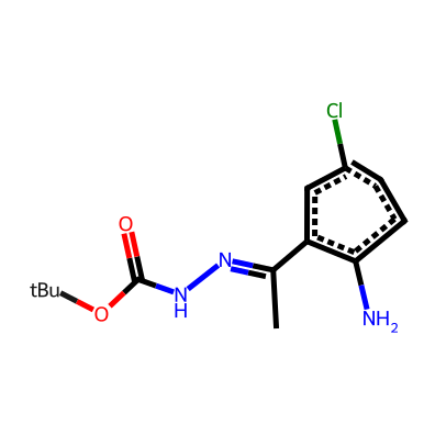 C/C(=N\NC(=O)OC(C)(C)C)c1cc(Cl)ccc1N